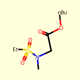 CCCCOC(=O)CN(C)S(=O)(=O)CC